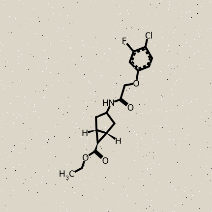 CCOC(=O)[C@H]1[C@@H]2CC(NC(=O)COc3ccc(Cl)c(F)c3)C[C@@H]21